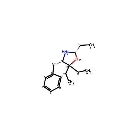 CC[C@H]1N[C@@H](Cc2ccccc2)C(CC)(CC)O1